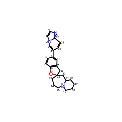 c1cn2cc(-c3ccc4c(c3)CC3(CCCN5CCCCC5C3)O4)ccc2n1